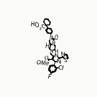 COC(=O)C1=C(CN2CCN3C(=O)N(c4ccc(C5(C(=O)O)CCCCC5)cc4)C[C@@H]3C2)NC(c2nccs2)=N[C@H]1c1ccc(F)cc1Cl